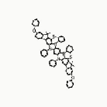 CC1(C)c2cc(Oc3ccccc3)ccc2-c2cc3c4c(c21)Sc1ccccc1B4c1cc2c(cc1N3c1ccccc1)N(c1ccccc1)c1cc3c(c4c1B2c1ccccc1S4)C(C)(C)c1cc(Oc2ccccc2)ccc1-3